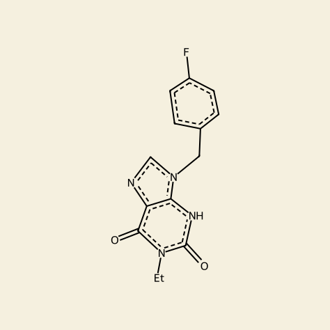 CCn1c(=O)[nH]c2c(ncn2Cc2ccc(F)cc2)c1=O